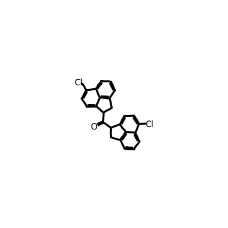 O=C(C1Cc2cccc3c(Cl)ccc1c23)C1Cc2cccc3c(Cl)ccc1c23